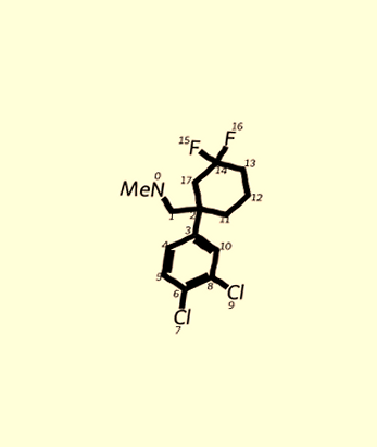 CNCC1(c2ccc(Cl)c(Cl)c2)CCCC(F)(F)C1